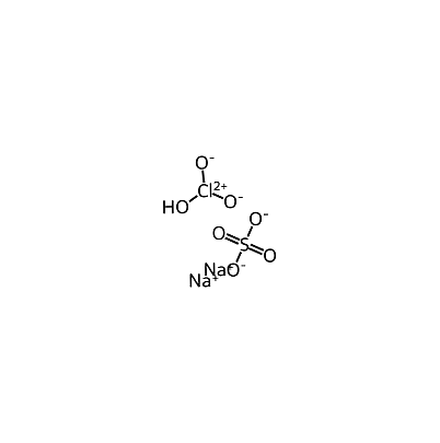 O=S(=O)([O-])[O-].[Na+].[Na+].[O-][Cl+2]([O-])O